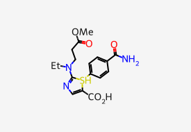 CCN(CCC(=O)OC)C1=NC=C(C(=O)O)[SH]1c1ccc(C(N)=O)cc1